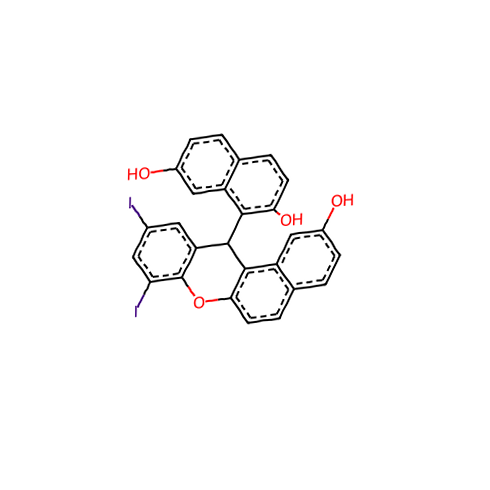 Oc1ccc2ccc(O)c(C3c4cc(I)cc(I)c4Oc4ccc5ccc(O)cc5c43)c2c1